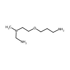 CN(CN)CCOCCCN